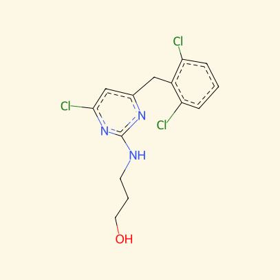 OCCCNc1nc(Cl)cc(Cc2c(Cl)cccc2Cl)n1